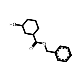 O=C(OCc1ccccc1)C1CCCC(O)C1